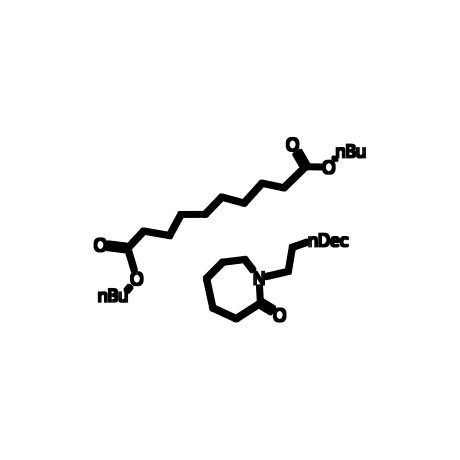 CCCCCCCCCCCCN1CCCCCC1=O.CCCCOC(=O)CCCCCCCCC(=O)OCCCC